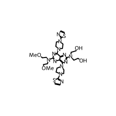 COCCN(CCOC)c1nc(N2CCN(c3nccs3)CC2)c2nc(N(CCO)CCO)nc(N3CCN(c4nccs4)CC3)c2n1